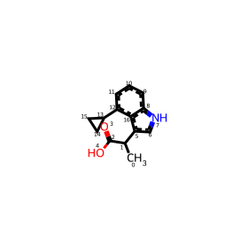 CC(C(=O)O)c1c[nH]c2cccc(C3CC3)c12